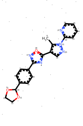 Cc1c(-c2nc(-c3ccc(C4OCCO4)cc3)no2)cnn1-c1ccccn1